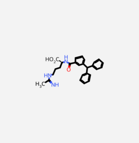 CC(=N)NCCC[C@H](NC(=O)c1cccc(C(c2ccccc2)c2ccccc2)c1)C(=O)O